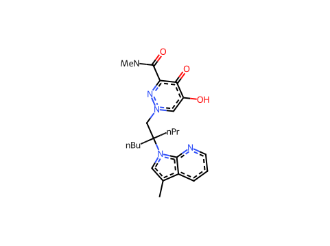 CCCCC(CCC)(Cn1cc(O)c(=O)c(C(=O)NC)n1)n1cc(C)c2cccnc21